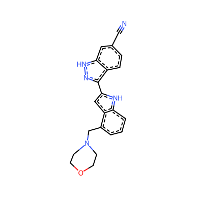 N#Cc1ccc2c(-c3cc4c(CN5CCOCC5)cccc4[nH]3)n[nH]c2c1